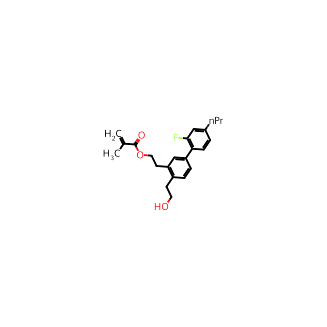 C=C(C)C(=O)OCCc1cc(-c2ccc(CCC)cc2F)ccc1CCO